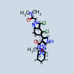 CN(C)C(=O)Cn1nc2ccc(-c3c[nH]c4nc(N5C6CCCC5CNC6)n(C)c(=O)c34)c(Cl)c2c1Cl